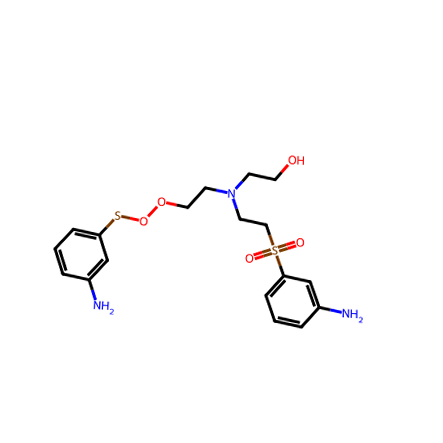 Nc1cccc(SOOCCN(CCO)CCS(=O)(=O)c2cccc(N)c2)c1